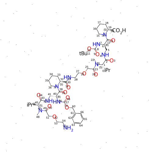 CC(C)[C@@H](C(=O)NC[C@@H](NC(=O)OC(C)(C)C)C(=O)N1CCCC[C@H]1C(=O)O)N(C)C(=O)COCCNC(=O)[C@@H]1CCCCN1C(=O)[C@@H](CNC(=O)[C@H](C(C)C)N(C)C(=O)COCCN)NC(=O)OCc1ccccc1